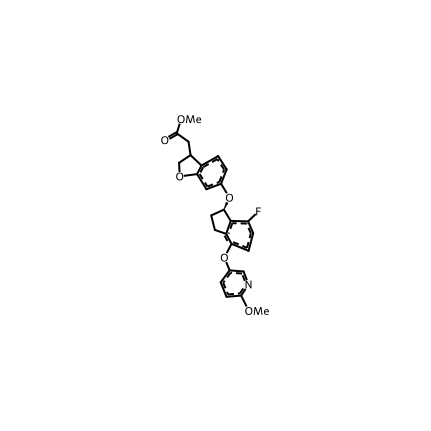 COC(=O)CC1COc2cc(O[C@@H]3CCc4c(Oc5ccc(OC)nc5)ccc(F)c43)ccc21